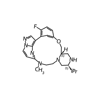 CC(C)[C@H]1CN2CCN(C)c3ccn4ncc(c4n3)-c3cc(ccc3F)OC[C@@H]2CN1